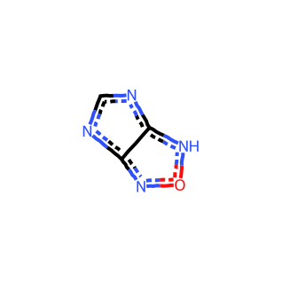 c1nc2no[nH]c-2n1